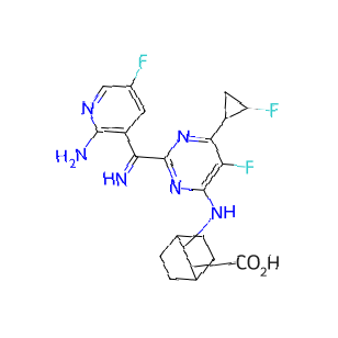 N=C(c1nc(NC2C3CCC(CC3)C2C(=O)O)c(F)c(C2CC2F)n1)c1cc(F)cnc1N